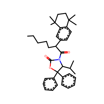 CCCCCC(C(=O)N1C(=O)OC(c2ccccc2)(c2ccccc2)C1C(C)C)c1ccc2c(c1)C(C)(C)CCC2(C)C